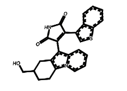 O=C1NC(=O)C(c2c3c(n4ccccc24)CCC(CO)C3)=C1c1csc2ccccc12